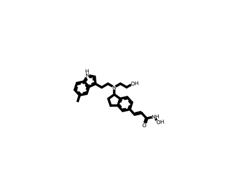 Cc1ccc2[nH]cc(CCN(CCO)C3CCc4cc(/C=C/C(=O)NO)ccc43)c2c1